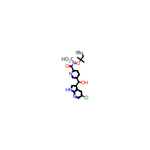 CC(C)(C)CC(C)(C)ON(C(=O)O)C(=O)c1ccc(C(O)c2c[nH]c3ncc(Cl)cc23)cn1